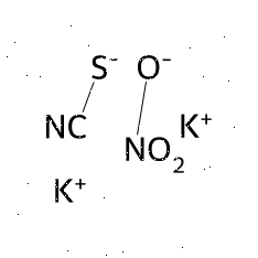 N#C[S-].O=[N+]([O-])[O-].[K+].[K+]